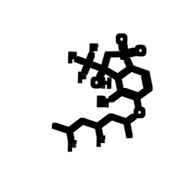 CC(F)CC(F)CC(C)OC1=C(Br)C2C(C=C1)S(=O)(=O)CC2(O)C(F)(F)F